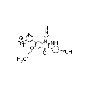 C#Cc1ccc2c(c1)[nH]c1c2c(=O)c2cc(OCCCC)c(-c3cncc(S(=O)(=O)F)c3)cc2n1C1CNC1